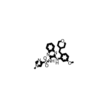 COc1ccc(CC2CCOCC2)c(Nc2nc3ccccc3nc2NS(=O)(=O)c2cn(C)cn2)c1